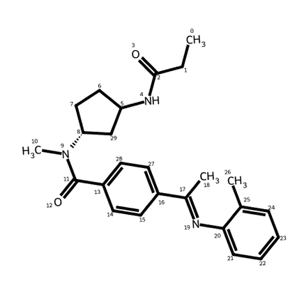 CCC(=O)NC1CC[C@@H](N(C)C(=O)c2ccc(/C(C)=N/c3ccccc3C)cc2)C1